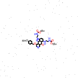 COc1ccc(COc2cncc3c2-c2nn(CCNC(=O)OC(C)(C)C)c4ccc(NCCNC(=O)OC(C)(C)C)c(c24)C3=O)cc1